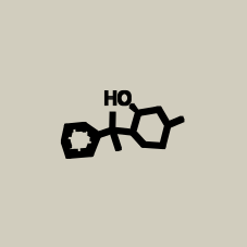 CC1CCC(C(C)(C)c2ccccc2)[C@@H](O)C1